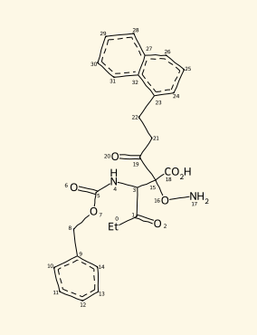 CCC(=O)C(NC(=O)OCc1ccccc1)C(ON)(C(=O)O)C(=O)CCc1cccc2ccccc12